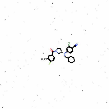 Cc1cc(C(=O)N2CC[C@H](N(CC3CCCCC3)c3ccc(C#N)c(Cl)c3)C2)ccc1F